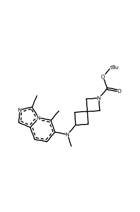 Cc1ncc2ccc(N(C)C3CC4(C3)CN(C(=O)OC(C)(C)C)C4)c(C)n12